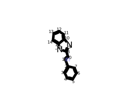 C(=C\c1ccccc1)/C1=Nc2ccccc2[N]1